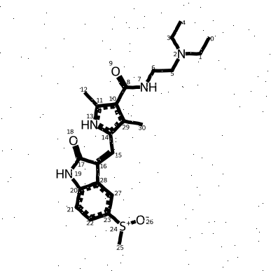 CCN(CC)CCNC(=O)c1c(C)[nH]c(/C=C2\C(=O)Nc3ccc([S+](C)[O-])cc32)c1C